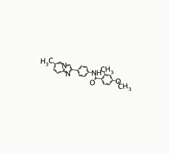 COc1ccc(C(=O)Nc2ccc(-c3cn4cc(C)ccc4n3)cc2)c(C)c1